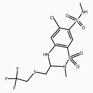 CNS(=O)(=O)c1cc2c(cc1Cl)NC(CSCC(F)(F)F)N(C)S2(=O)=O